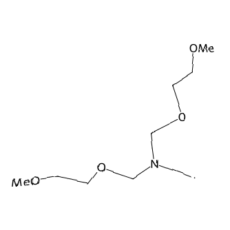 [CH2]N(COCCOC)COCCOC